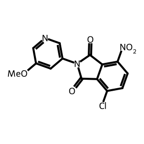 COc1cncc(N2C(=O)c3c(Cl)ccc([N+](=O)[O-])c3C2=O)c1